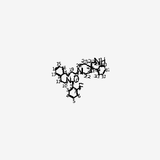 O=C(c1ccccc1F)N1CCc2ccccc2C1CCN1CCC2(CC1)CNc1ccccc12